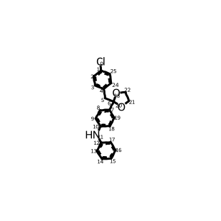 Clc1ccc(CC2(c3ccc(Nc4ccccc4)cc3)OCCO2)cc1